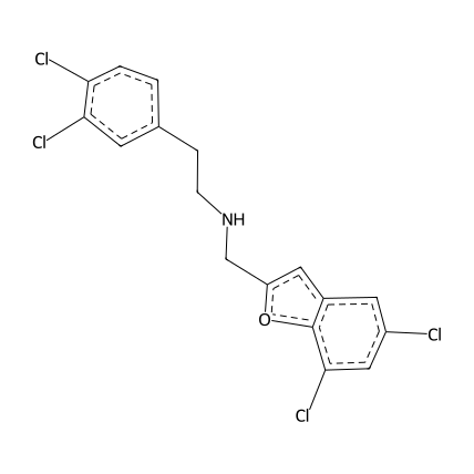 Clc1cc(Cl)c2oc(CNCCc3ccc(Cl)c(Cl)c3)cc2c1